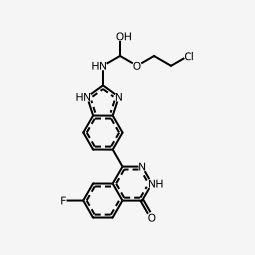 O=c1[nH]nc(-c2ccc3[nH]c(NC(O)OCCCl)nc3c2)c2cc(F)ccc12